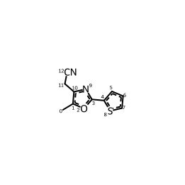 Cc1oc(-c2cccs2)nc1CC#N